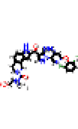 Cc1cc(Oc2c(F)cccc2F)ncc1-n1ncc(C(=O)c2cc3c4c(ccc3[nH]2)CCN(C(=O)N(C)CCO)C4)c1N